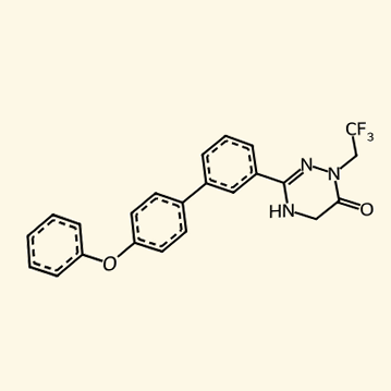 O=C1CNC(c2cccc(-c3ccc(Oc4ccccc4)cc3)c2)=NN1CC(F)(F)F